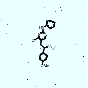 COc1ccc(C(Cc2cnc(Nc3ccccc3)nc2Cl)C(=O)O)cc1